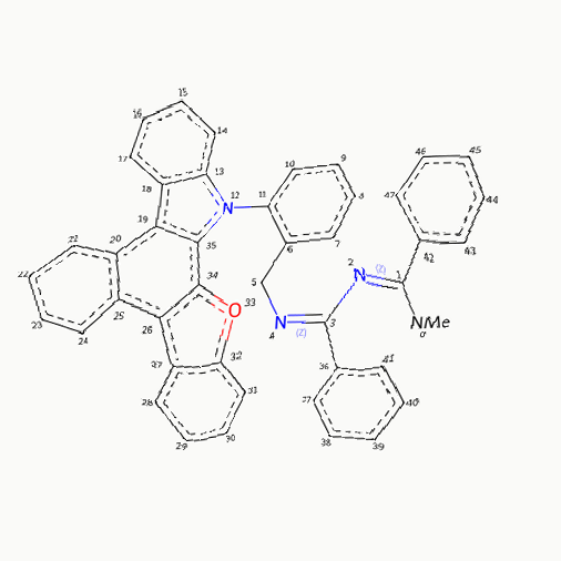 CN/C(=N\C(=N/Cc1ccccc1-n1c2ccccc2c2c3ccccc3c3c4ccccc4oc3c21)c1ccccc1)c1ccccc1